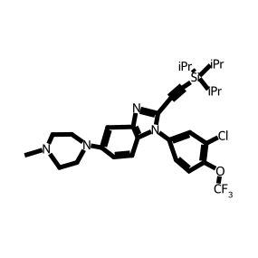 CC(C)[Si](C#Cc1nc2cc(N3CCN(C)CC3)ccc2n1-c1ccc(OC(F)(F)F)c(Cl)c1)(C(C)C)C(C)C